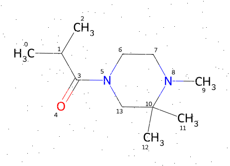 CC(C)C(=O)N1CCN(C)C(C)(C)C1